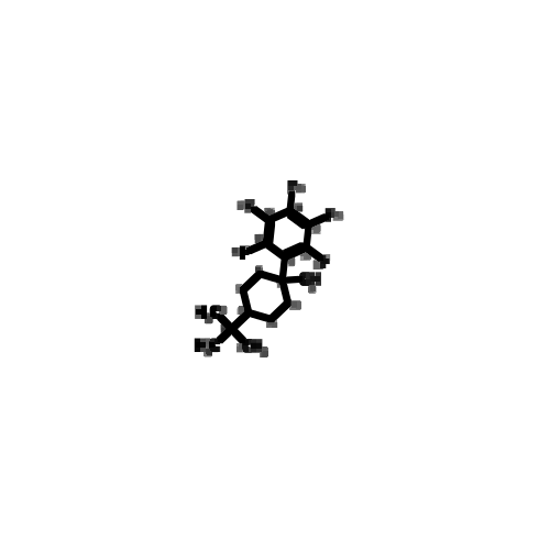 CC(C)(C)C1CCC(O)(c2c(F)c(F)c(F)c(F)c2F)CC1